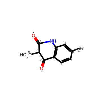 CC(C)c1ccc2c(c1)NC(=O)C(C(=O)O)C2=O